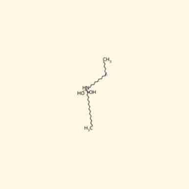 CCCCCC/C=C\CCCCCCCCN[C@@H](CO)[C@H](O)CCCCCCCCCCCCCCC